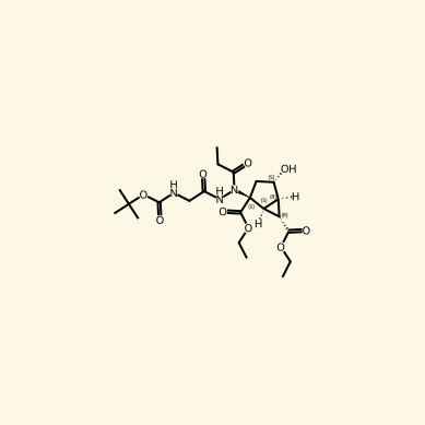 CCOC(=O)[C@H]1[C@H]2[C@@H]1[C@@](C(=O)OCC)(N(NC(=O)CNC(=O)OC(C)(C)C)C(=O)CC)C[C@@H]2O